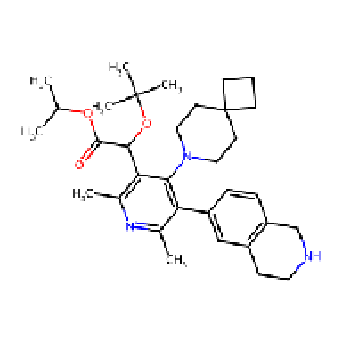 Cc1nc(C)c(C(OC(C)(C)C)C(=O)OC(C)C)c(N2CCC3(CCC3)CC2)c1-c1ccc2c(c1)CCNC2